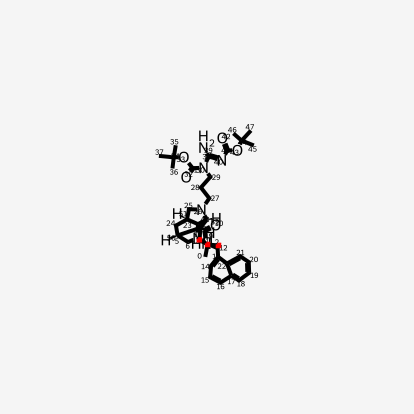 CC(C)C[C@@H]1[C@@H]2CN[C@@]3(C(=O)NCc4cccc5ccccc45)[C@@H](C2)CN(CCCN(C(=O)OC(C)(C)C)C(N)=NC(=O)OC(C)(C)C)[C@@H]13